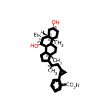 CC[C@H]1[C@@H](O)C2C3CCC([C@H](C)CC4CC4c4ccccc4C(=O)O)[C@@]3(C)CCC2[C@@]2(C)CC[C@@H](O)C[C@@H]12